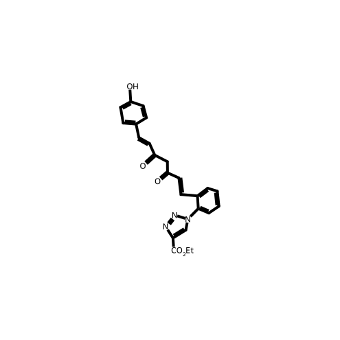 CCOC(=O)c1cn(-c2ccccc2C=CC(=O)CC(=O)C=Cc2ccc(O)cc2)nn1